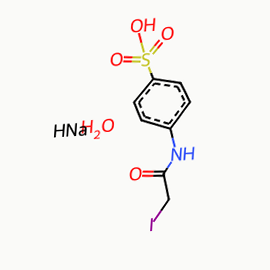 O.O=C(CI)Nc1ccc(S(=O)(=O)O)cc1.[NaH]